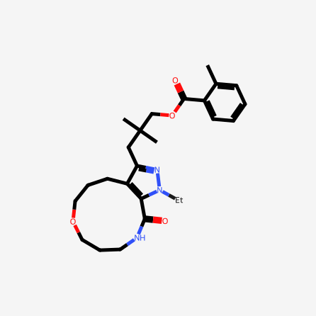 CCn1nc(CC(C)(C)COC(=O)c2ccccc2C)c2c1C(=O)NCCCOCCC2